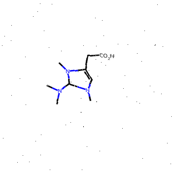 CN(C)C1N(C)C=C(CC(=O)O)N1C